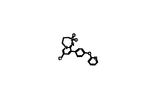 O=S1(=O)CCCN2C=C(Cl)C=C(c3ccc(Oc4ccccn4)cc3)C2=N1